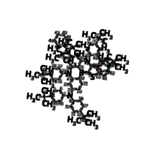 CC(C)(C)c1ccc(N(c2ccc(C(C)(C)C)cc2)c2ccc3c(c2)N(c2ccc(C(C)(C)C)cc2)c2cc([Si](c4ccccc4)(C(C)(C)C)C(C)(C)C)cc4c2B3c2sc3ccc(C(C)(C)C)cc3c2N4c2ccc(C(C)(C)C)cc2-c2ccccc2)cc1